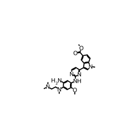 COC(=O)c1ccc2c(c1)c(-c1ccnc(Nc3cc(N)c(N(C)CCN(C)C)cc3OC)n1)cn2C